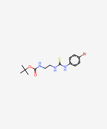 CC(C)(C)OC(=O)NCCNC(=S)Nc1ccc(Br)cc1